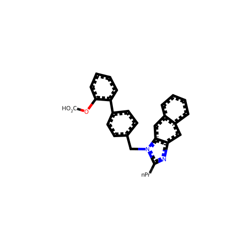 CCCc1nc2cc3ccccc3cc2n1Cc1ccc(-c2ccccc2OC(=O)O)cc1